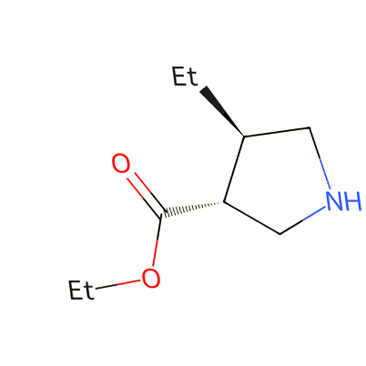 CCOC(=O)[C@H]1CNC[C@@H]1CC